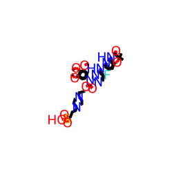 COc1cc(N(C(=O)OCCN2CCN(CCCS(=O)(=O)O)CC2)c2ncc(F)c(Nc3ccc4c(n3)NC(=O)C(C)(C)O4)n2)cc(OC)c1OC